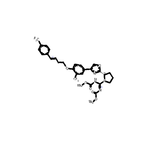 CC(C)(C)OC(=O)/N=C(\NC(=O)OC(C)(C)C)N1CCC[C@H]1c1nc(-c2ccc(OCC/C=C/c3ccc(C(F)(F)F)cc3)c(C(F)(F)F)c2)co1